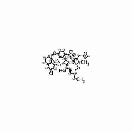 C=CCC(C)C(C[C@@H]1CCO1)S(=O)(=O)NC(=O)c1ccc2c(c1)N(C[C@@H]1CC[C@H]1C(O)/C=C/CCC)C[C@@]1(CCCc3cc(Cl)ccc31)CO2